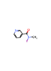 CN(I)C(=O)c1cccnc1